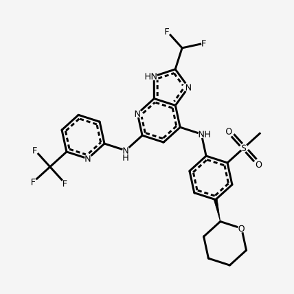 CS(=O)(=O)c1cc([C@@H]2CCCCO2)ccc1Nc1cc(Nc2cccc(C(F)(F)F)n2)nc2[nH]c(C(F)F)nc12